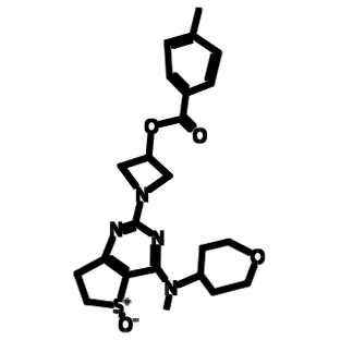 Cc1ccc(C(=O)OC2CN(c3nc4c(c(N(C)C5CCOCC5)n3)[S+]([O-])CC4)C2)cc1